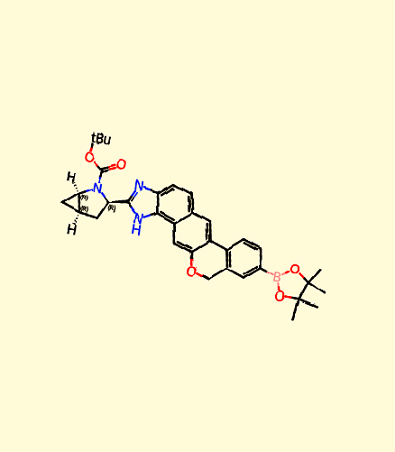 CC(C)(C)OC(=O)N1[C@@H](c2nc3ccc4cc5c(cc4c3[nH]2)OCc2cc(B3OC(C)(C)C(C)(C)O3)ccc2-5)C[C@H]2C[C@H]21